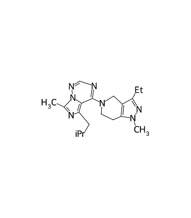 CCc1nn(C)c2c1CN(c1ncnn3c(C)nc(CC(C)C)c13)CC2